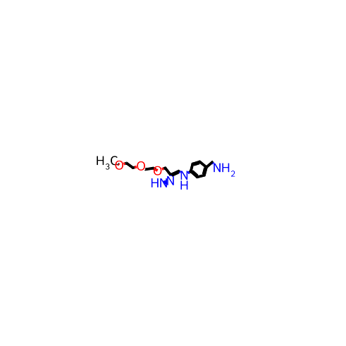 COCCOCCOC/C(=C/Nc1ccc(CN)cc1)N=N